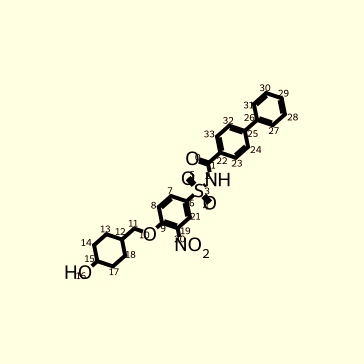 O=C(NS(=O)(=O)c1ccc(OCC2CCC(O)CC2)c([N+](=O)[O-])c1)c1ccc(-c2ccccc2)cc1